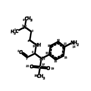 CN(C)CCNC(C=O)N(c1ccc(N)cc1)S(C)(=O)=O